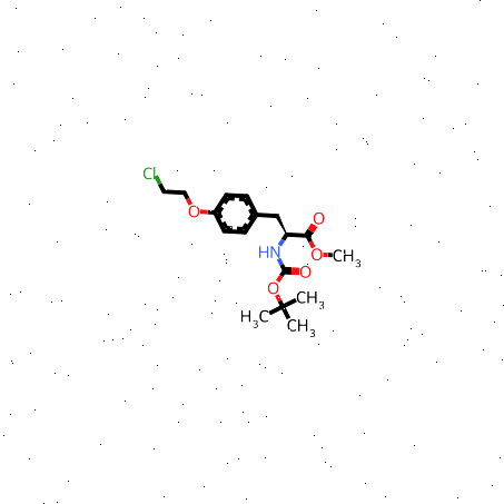 COC(=O)[C@H](Cc1ccc(OCCCl)cc1)NC(=O)OC(C)(C)C